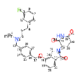 CCCN(CCCc1cccc(F)c1)Cc1ccc(COc2cccc3c2CN(C2CCC(=O)NC2=O)C3=O)cc1